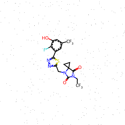 O=C1N(CC(F)(F)F)C(=O)C2(CC2)N1Cc1nnc(-c2cc(C(F)(F)F)cc(O)c2F)s1